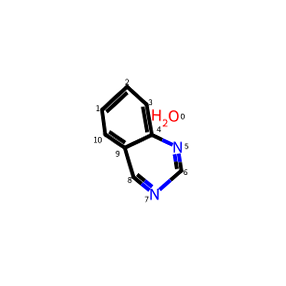 O.c1ccc2ncncc2c1